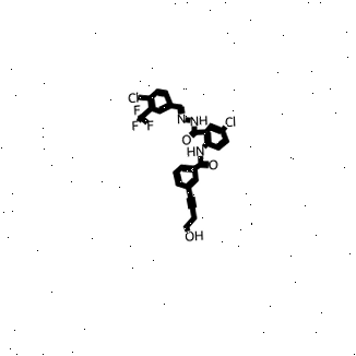 O=C(Nc1ccc(Cl)cc1C(=O)N/N=C/c1ccc(Cl)c(C(F)(F)F)c1)c1cccc(C#CCCO)c1